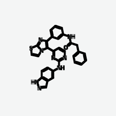 O=C(Cc1ccccc1)Nc1cccc(-c2nc3sccn3c2-c2ccnc(Nc3ccc4[nH]ncc4c3)n2)c1